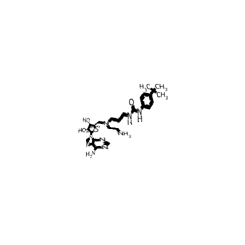 CC(C)(C)c1ccc(NC(=O)NCCCN(CCN)C[C@H]2OC(n3cnc4c(N)ncnc43)[C@H](O)[C@@H]2O)cc1